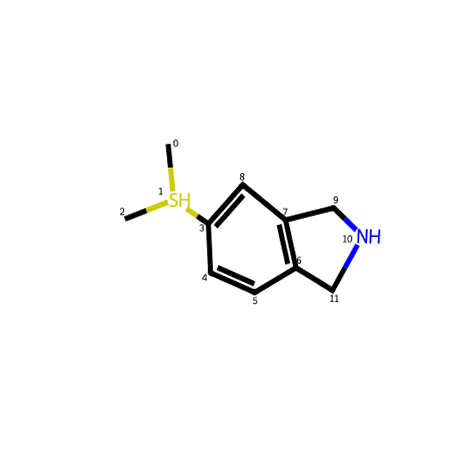 C[SH](C)c1ccc2c(c1)CNC2